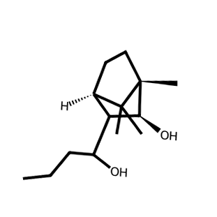 CCCC(O)C1[C@H]2CC[C@](C)([C@H]1O)C2(C)C